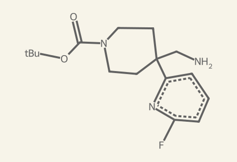 CC(C)(C)OC(=O)N1CCC(CN)(c2cccc(F)n2)CC1